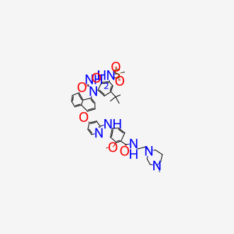 COc1cc(Nc2cc(Oc3ccc(N(C(N)=O)c4cc(C(C)(C)C)cc(NS(C)(=O)=O)c4OC)c4ccccc34)ccn2)ccc1C(=O)NCCN1CCCN(C)CC1